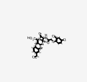 O=C(CSc1ccc(Cl)cc1Cl)N[C@@H]1C(=O)N2C(C(=O)O)=C(Sc3ccc(CCl)cc3Br)CS[C@@H]12